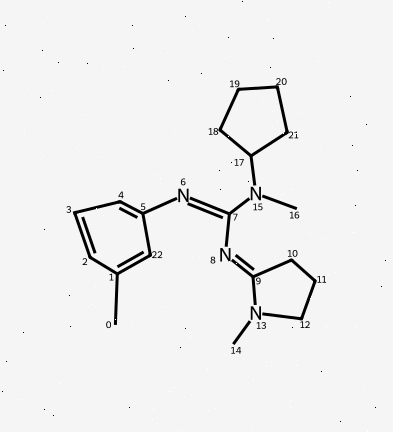 Cc1cccc(N=C(N=C2CCCN2C)N(C)C2CCCC2)c1